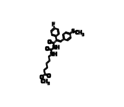 COC(=O)CCCCCNC(=O)NC(=O)/C(=C/c1ccc(SC)cc1)c1ccc(F)cc1